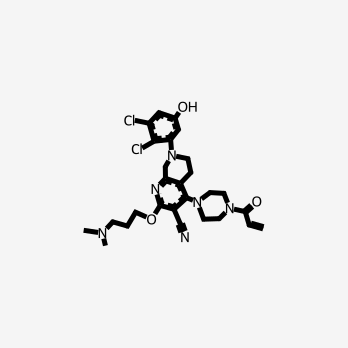 C=CC(=O)N1CCN(c2c(C#N)c(OCCCN(C)C)nc3c2CCN(c2cc(O)cc(Cl)c2Cl)C3)CC1